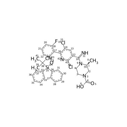 C[C@H]1CN(C(=O)O)CCN1C(=N)c1cc(Cl)c(-c2c(F)cccc2O[Si](c2ccccc2)(c2ccccc2)C(C)(C)C)nc1Cl